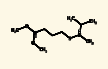 CO[SiH](CCCS[SiH](C)C(C)C)OC